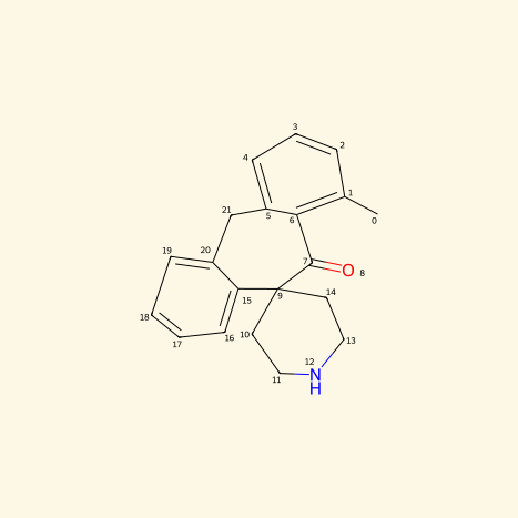 Cc1cccc2c1C(=O)C1(CCNCC1)c1ccccc1C2